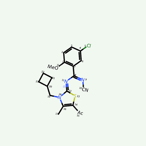 COc1ccc(Cl)cc1C(=NC#N)/N=c1\sc(C(C)=O)c(C)n1CC1CCC1